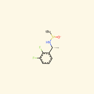 C[C@@H](N[S+]([O-])C(C)(C)C)c1cccc(F)c1F